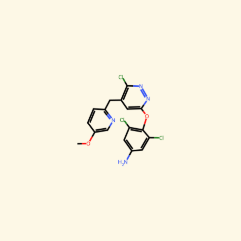 COc1ccc(Cc2cc(Oc3c(Cl)cc(N)cc3Cl)nnc2Cl)nc1